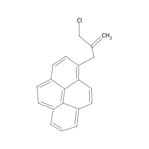 C=C(CCl)Cc1ccc2ccc3cccc4ccc1c2c34